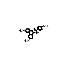 Nc1ccc(-c2nc3c4ccc(N)cc4c4cc(N)ccc4c3[nH]2)cc1